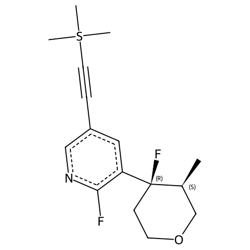 C[C@H]1COCC[C@]1(F)c1cc(C#CS(C)(C)C)cnc1F